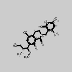 COC(c1cc(Cl)c2c(c1Cl)C(=O)N(Cc1c(C)cc(C)[nH]c1=O)CC2)[C@H](C)CO